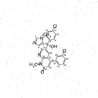 Cn1cncc1C(O)(c1ccc(Cl)cc1)c1cnc2c(c1)c(-c1cccc(Cl)c1)cc(=O)n2C